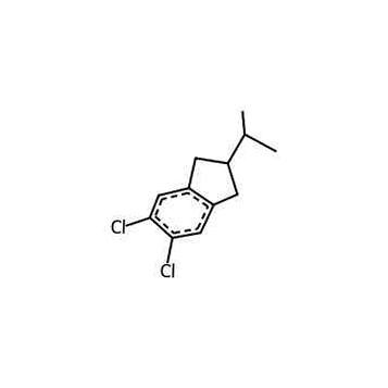 CC(C)C1Cc2cc(Cl)c(Cl)cc2C1